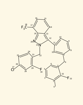 Cc1cccc(Cc2cccc(-c3c4cccc(C(F)(F)F)c4nn3Cc3ccc(Cl)cc3F)c2)c1F